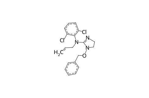 C=CCN(C1=NCCN1OCc1ccccc1)c1c(Cl)cccc1Cl